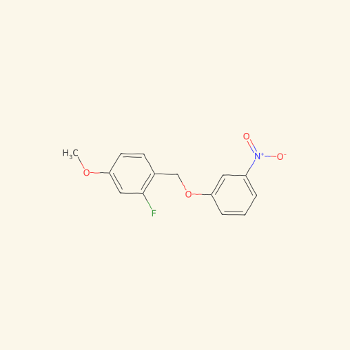 COc1ccc(COc2cccc([N+](=O)[O-])c2)c(F)c1